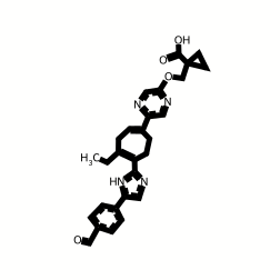 CCC1=C(c2ncc(-c3ccc(C=O)cc3)[nH]2)CCC(c2cnc(OCC3(C(=O)O)CC3)cn2)=CC1